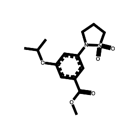 COC(=O)c1cc(OC(C)C)cc(N2CCCS2(=O)=O)c1